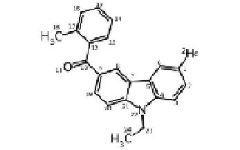 [2H]c1ccc2c(c1)c1cc(C(=O)c3ccccc3C)ccc1n2CC